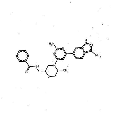 C[C@@H]1CO[C@H](CNC(=O)c2ccccc2)CN1c1cc(-c2ccc3c(N)n[nH]c3c2)nc(N)n1